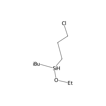 CCO[SiH](CCCCl)C(C)CC